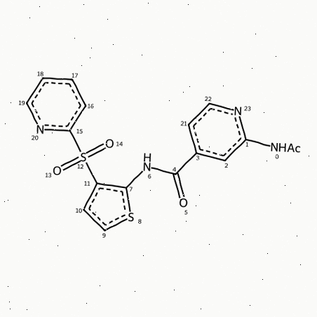 CC(=O)Nc1cc(C(=O)Nc2sccc2S(=O)(=O)c2ccccn2)ccn1